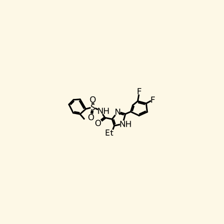 CCc1[nH]c(-c2ccc(F)c(F)c2)nc1C(=O)NS(=O)(=O)c1ccccc1C